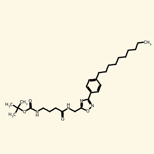 CCCCCCCCCCc1ccc(-c2noc(CNC(=O)CCCNC(=O)OC(C)(C)C)n2)cc1